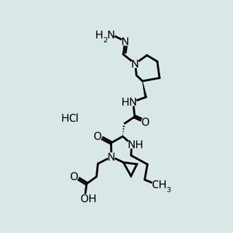 CCCCN[C@@H](CC(=O)NC[C@@H]1CCCN(C=NN)C1)C(=O)N(CCC(=O)O)C1CC1.Cl